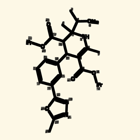 COC(C)C1(C)NC(C)=C(C(=O)OC(C)C)C(c2cccc(-c3nnc(C)o3)c2)C1C(=O)OC(C)C